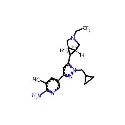 N#Cc1cc(-c2cc(C3[C@H]4CN(CC(F)(F)F)C[C@@H]34)n(CC3CC3)n2)cnc1N